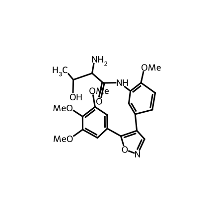 COc1ccc(-c2cnoc2-c2cc(OC)c(OC)c(OC)c2)cc1NC(=O)C(N)C(C)O